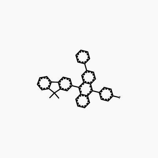 CC1(C)c2ccccc2-c2ccc(-c3c4ccccc4c(-c4ccc(F)cc4)c4ccc(-c5ccccc5)cc34)cc21